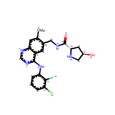 COc1cc2ncnc(Nc3cccc(Cl)c3F)c2cc1CNC(=O)[C@@H]1C[C@@H](O)CN1